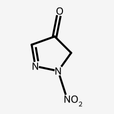 O=C1C=NN([N+](=O)[O-])C1